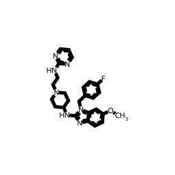 COc1ccc2nc(NC3CCN(CCNc4ncccn4)CC3)n(Cc3ccc(F)cc3)c2c1